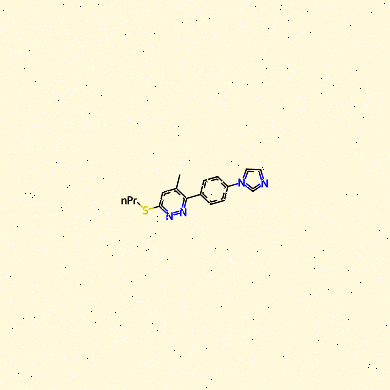 CCCSc1cc(C)c(-c2ccc(-n3ccnc3)cc2)nn1